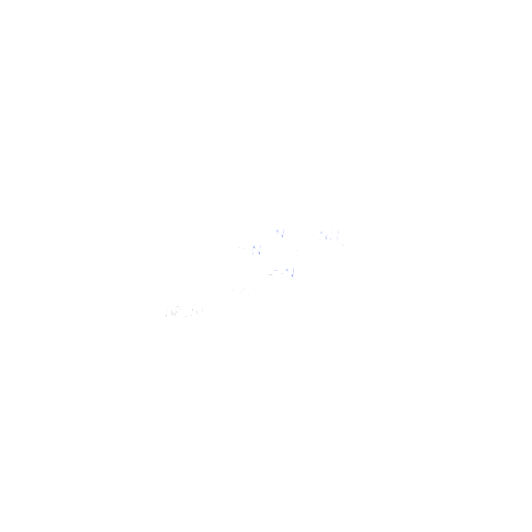 CCCCCc1ccn2nc(N)nc2c1